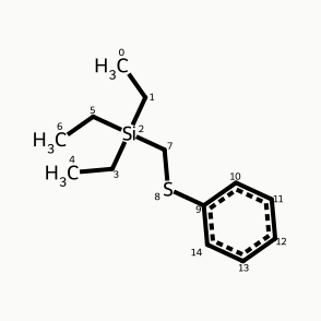 CC[Si](CC)(CC)CSc1ccccc1